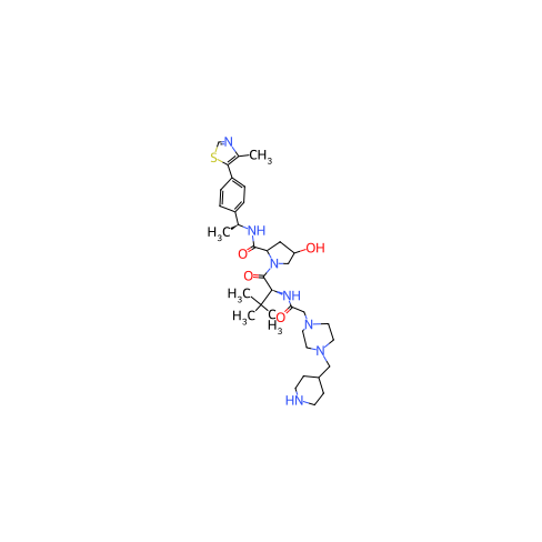 Cc1ncsc1-c1ccc([C@H](C)NC(=O)C2CC(O)CN2C(=O)[C@@H](NC(=O)CN2CCN(CC3CCNCC3)CC2)C(C)(C)C)cc1